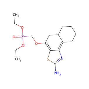 CCOP(=O)(COC1=c2sc(N)nc2=C2CCCCC2C1)OCC